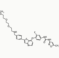 COCCOCCOCCNCc1ccc(-c2cc3nccc(Oc4ccc(NC(=O)Nc5cc(C)on5)cc4F)c3s2)cc1